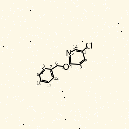 Clc1ccc(OCc2[c]cccc2)nc1